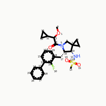 COC(C(=O)N1CC2(CC2)[C@H](NS(C)(=O)=O)[C@@H]1Cc1cccc(-c2ccccc2)c1F)C1CC1